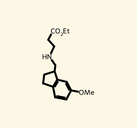 CCOC(=O)CCNCC1CCc2ccc(OC)cc21